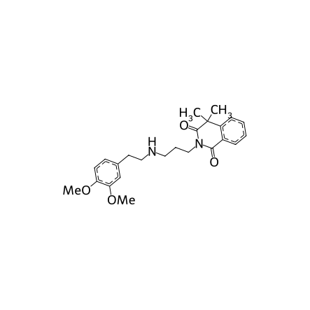 COc1ccc(CCNCCCN2C(=O)c3ccccc3C(C)(C)C2=O)cc1OC